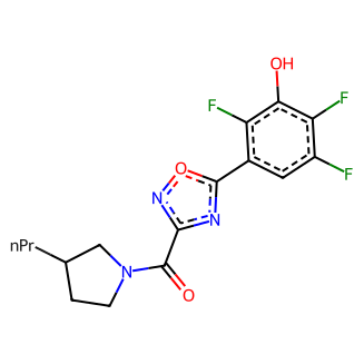 CCCC1CCN(C(=O)c2noc(-c3cc(F)c(F)c(O)c3F)n2)C1